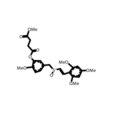 COC(=O)CCC(=O)Oc1cc(C[S+]([O-])C=Cc2c(OC)cc(OC)cc2OC)ccc1OC